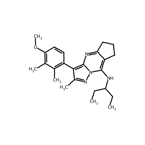 CCC(CC)Nc1c2c(nc3c(-c4ccc(OC)c(C)c4C)c(C)nn13)CCC2